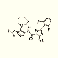 Nc1sc(-c2c(F)cccc2F)nc1C(=O)Nc1cnn(CC(F)F)c1N1CCCCCC1